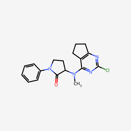 CN(c1nc(Cl)nc2c1CCC2)C1CCN(c2ccccc2)C1=O